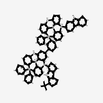 CC(C)(C)c1cccc2c1oc1c(N3c4cc(-c5cccc([Si]6(c7ccccc7)c7cccc8c7B7c9c(cccc9N(c9ccc%10c(c9)sc9ccccc9%10)c9cccc6c97)O8)c5)cc5c4B4c6c(cccc6[Si](c6ccccc6)(c6ccccc6)c6cccc3c64)O5)cccc12